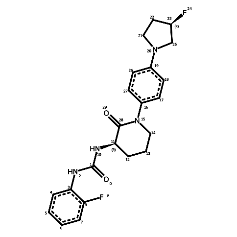 O=C(Nc1ccccc1F)N[C@@H]1CCCN(c2ccc(N3CC[C@@H](F)C3)cc2)C1=O